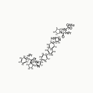 COC(=O)N[C@H](C(=O)N1CCC[C@H]1c1ncc(-c2ccc3cc(-c4ccc(-c5cnc([C@@H]6CCCN6C(=O)[C@H](c6ccccc6)C(C)C)[nH]5)cc4)ccc3c2)[nH]1)C(C)C